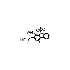 CSc1c(CC(=O)O)cc(C)c2c3ccccc3n(S(C)(=O)=O)c12